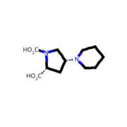 O=C(O)[C@H]1C[C@@H](N2CCCCC2)CN1C(=O)O